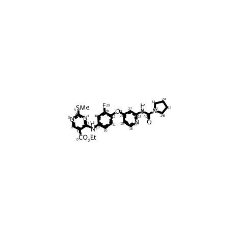 CCOC(=O)c1cnc(SC)nc1Nc1ccc(Oc2ccnc(NC(=O)N3CCCC3)c2)c(F)c1